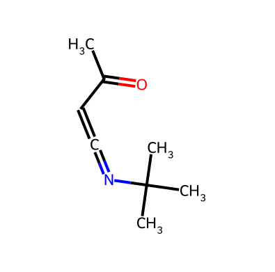 CC(=O)C=C=NC(C)(C)C